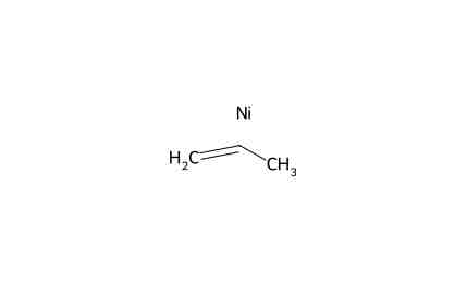 C=CC.[Ni]